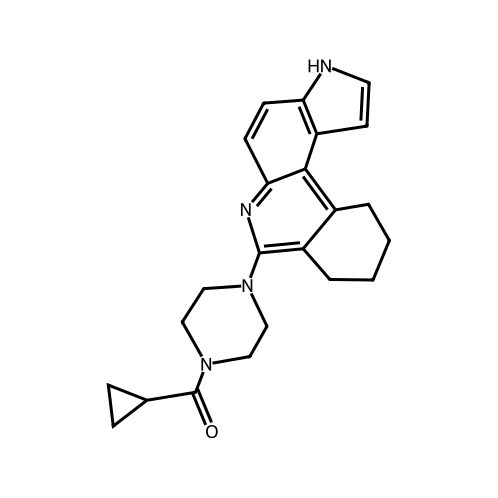 O=C(C1CC1)N1CCN(c2nc3ccc4[nH]ccc4c3c3c2CCCC3)CC1